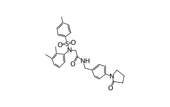 Cc1ccc(S(=O)(=O)N(CC(=O)NCc2ccc(N3CCCC3=O)cc2)c2cccc(C)c2C)cc1